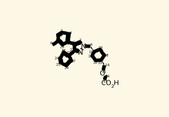 Cc1cccc(-c2cn(C[C@H]3CC[C@@H](COCC(=O)O)CC3)nc2-c2ccccc2)c1